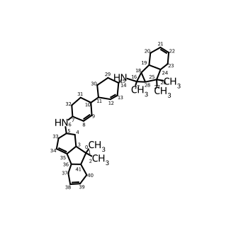 CC1(C)C2CC(NC3C=CC(C4C=CC(NC5(C)C6C7CC=CCC7C(C)(C)C65)CC4)CC3)CC=C2C2CC=CCC21